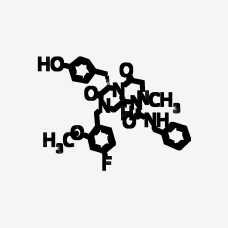 COc1cc(F)ccc1CN1C[C@H]2N(C(=O)CN(C)N2C(=O)NCc2ccccc2)[C@@H](Cc2ccc(O)cc2)C1=O